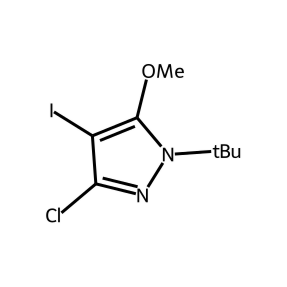 COc1c(I)c(Cl)nn1C(C)(C)C